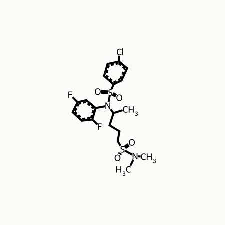 CC(CCCS(=O)(=O)N(C)C)N(c1cc(F)ccc1F)S(=O)(=O)c1ccc(Cl)cc1